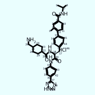 Cc1cc(C(=O)NC(C)C)ccc1-c1ccc(C[C@H](NC(=O)C2CCC(CN)CC2)C(=O)Nc2ccc(-c3nn[nH]n3)cc2)cc1.Cl